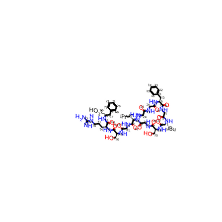 CC[C@H](C)[C@H](NC(=O)CNC(=O)[C@H](Cc1ccccc1)NC(=O)CNC(=O)CN)C(=O)N[C@@H](CO)C(=O)NCC(=O)N[C@@H](CC(C)C)C(=O)NCC(=O)N[C@@H](CO)C(=O)N[C@@H](CCCNC(=N)N)C(=O)N[C@@H](Cc1ccccc1)C(=O)O